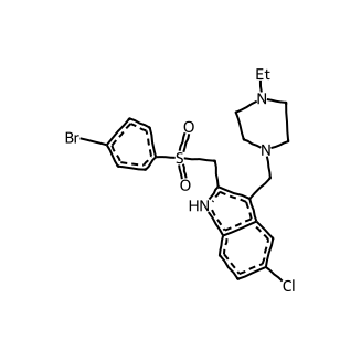 CCN1CCN(Cc2c(CS(=O)(=O)c3ccc(Br)cc3)[nH]c3ccc(Cl)cc23)CC1